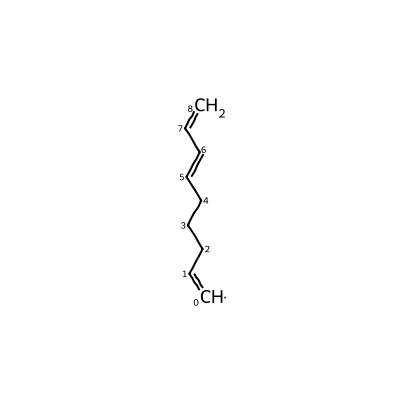 [CH]=CCCCC=CC=C